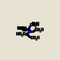 O=C(O)C[C@@H](C(=O)O)N(CC(=O)O)CC(=O)O.[NaH].[NaH].[NaH].[NaH]